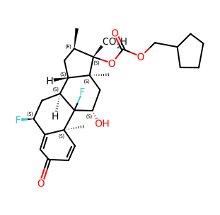 C[C@@H]1C[C@H]2[C@@H]3C[C@H](F)C4=CC(=O)C=C[C@]4(C)C3(F)[C@@H](O)C[C@]2(C)[C@]1(OC(=O)OCC1CCCC1)C(=O)O